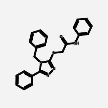 O=C(CSc1nnc(-c2ccccc2)n1Cc1ccccc1)Nc1ccccc1